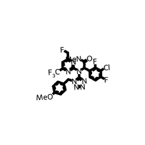 CNC(=O)C(c1ccc(F)c(Cl)c1F)N(c1nc(CF)cc(C(F)(F)F)n1)c1nnnn1Cc1ccc(OC)cc1